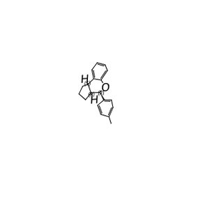 Cc1ccc([C@@H]2Oc3ccccc3[C@H]3CCC[C@H]32)cc1